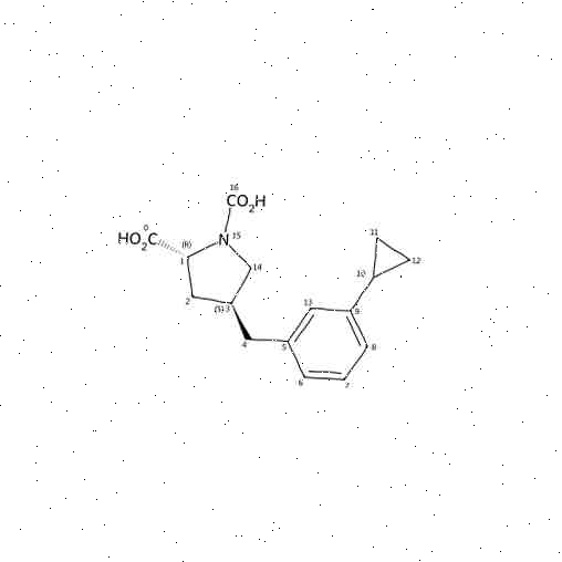 O=C(O)[C@H]1C[C@H](Cc2cccc(C3CC3)c2)CN1C(=O)O